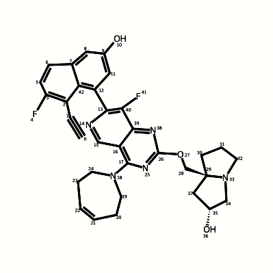 C#Cc1c(F)ccc2cc(O)cc(-c3ncc4c(N5CCC=CCC5)nc(OC[C@@]56CCCN5C[C@H](O)C6)nc4c3F)c12